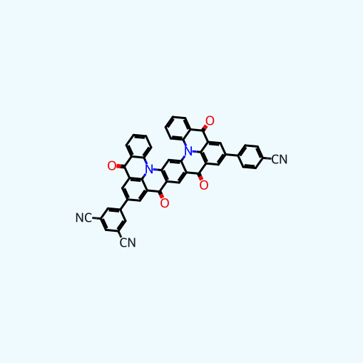 N#Cc1ccc(-c2cc3c(=O)c4ccccc4n4c5cc6c(cc5c(=O)c(c2)c34)c(=O)c2cc(-c3cc(C#N)cc(C#N)c3)cc3c(=O)c4ccccc4n6c32)cc1